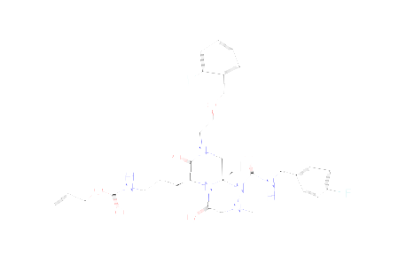 C=CCOC(=O)NCCC[C@H]1C(=O)N(CCOCc2ccccc2F)C[C@H]2N1C(=O)CN(C)N2C(=O)NCc1ccc(F)cc1